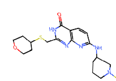 CSN1CCCC(Nc2ccc3c(=O)[nH]c(CSC4CCOCC4)nc3n2)C1